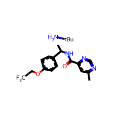 CC(C)(C)N.Cc1cc(C(=O)NC(C)c2ccc(OCC(F)(F)F)cc2)ncn1